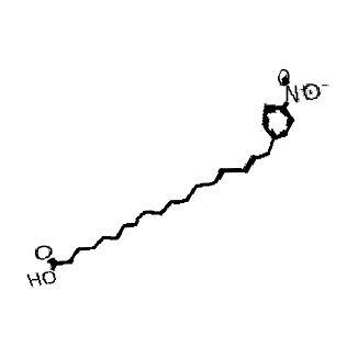 O=C(O)CCCCCCCCCCCCCCCCCc1ccc([N+](=O)[O-])cc1